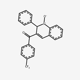 O=C(C1=Cc2ccccc2[S+]([O-])C1c1ccccc1)c1ccc(C(F)(F)F)cc1